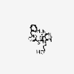 Nc1ncnc2c1nc(SC1=COC(Cc3ccccc3)O1)n2CCCO